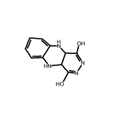 OC1=NN=C(O)C2Nc3ccccc3NC12